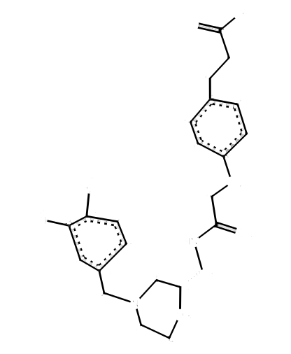 O=C(O)CCc1ccc(SCC(=O)NC[C@H]2CN(Cc3ccc(Cl)c(Cl)c3)CCO2)cc1